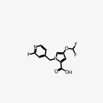 O=C(O)c1cc(OC(F)F)cn1Cc1ccnc(F)c1